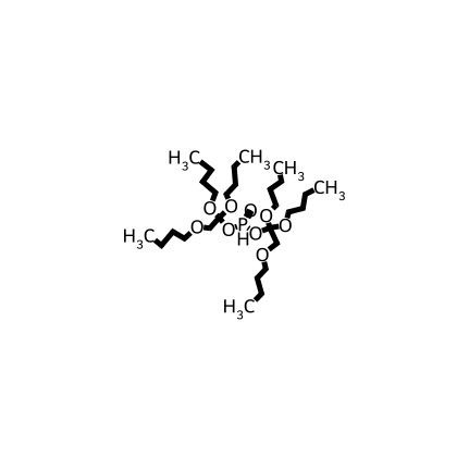 CCCCOCC(OCCCC)(OCCCC)O[PH](=O)OC(COCCCC)(OCCCC)OCCCC